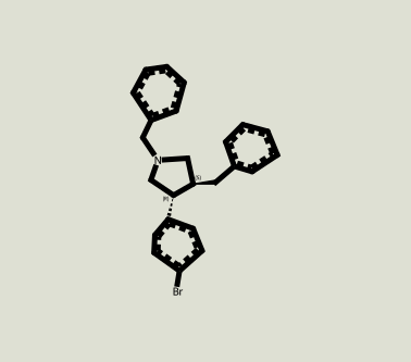 Brc1ccc([C@@H]2CN(Cc3ccccc3)C[C@H]2Cc2ccccc2)cc1